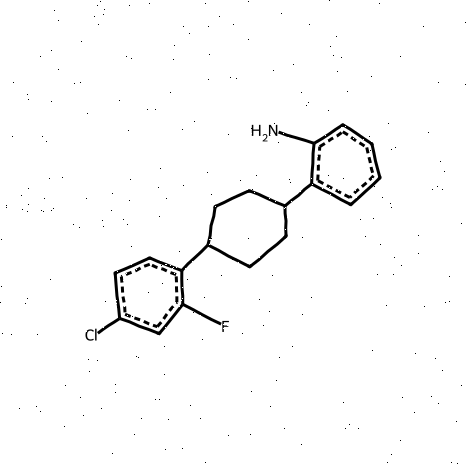 Nc1ccccc1C1CCC(c2ccc(Cl)cc2F)CC1